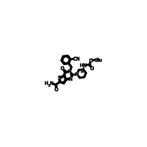 CC(C)(C)OC(=O)N[C@@H]1CCCN(c2nc3cc(C(N)=O)sc3c(=O)n2Cc2ccccc2C#N)C1